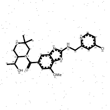 COc1cc(C(=O)N2CC(C)(C)OCC2C(C)O)cc2nc(NCc3cc(Cl)ccn3)oc12